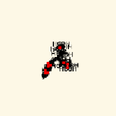 C[C@@H]1CC[C@@]2(OC1)O[C@H]1C[C@H]3[C@@H]4CC=C5C[C@@H](OCCC(CO[C@@H]6OC(CO)[C@@H](O[C@H]7OC(CO)[C@@H](O)[C@H](O)C7O)[C@H](O)C6O)CO[C@@H]6OC(CO)[C@@H](O[C@H]7OC(CO)[C@@H](O)[C@H](O)C7O)[C@H](O)C6O)CC[C@]5(C)[C@H]4CC[C@]3(C)[C@H]1[C@@H]2C